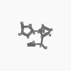 CCCCC(C)C1=CC=C[SH]1c1ccsc1